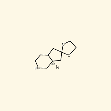 C1CC2CC3(C[C@H]2CN1)OCCO3